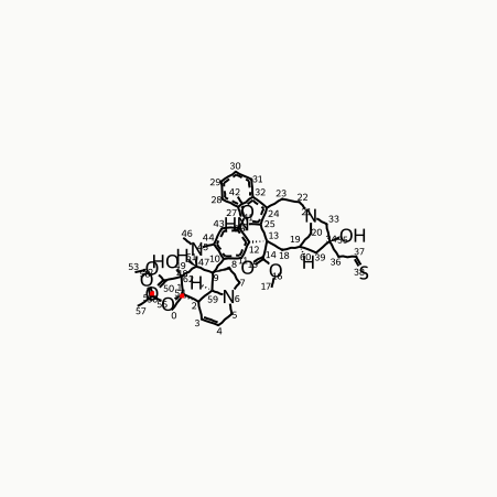 CC[C@]12C=CCN3CC[C@@]4(c5cc([C@@]6(C(=O)OC)C[C@H]7CN(CCc8c6[nH]c6ccccc86)C[C@](O)(CC=S)C7)c(OC)cc5N(C)[C@H]4[C@@](O)(C(=O)OC)[C@@H]1OC(C)=O)[C@@H]32